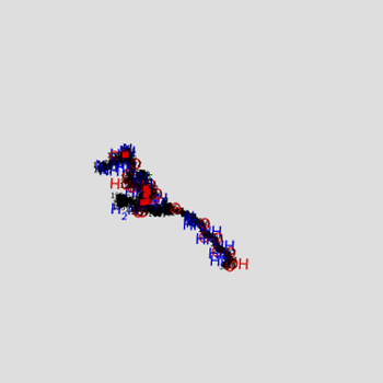 CCc1cc(OCCCCn2cc(CNC(=O)CNC(=O)CNC(=O)CNC(=O)CNC(=O)[C@H](CO)NC(C)=O)nn2)ccc1-c1ccc(C[C@H](NC(=O)[C@H](CC(=O)O)NC(=O)[C@H](CO)NC(=O)[C@@H](NC(=O)[C@](C)(Cc2ccccc2F)NC(=O)[C@@H](NC(=O)CNC(=O)[C@H](Cc2nnn[nH]2)NC(=O)C(C)(C)C(=O)NCCc2cnc[nH]2)[C@@H](C)O)[C@@H](C)O)C(=O)N[C@@H](CCCc2cc(C)cc(C)c2)C(N)=O)cc1